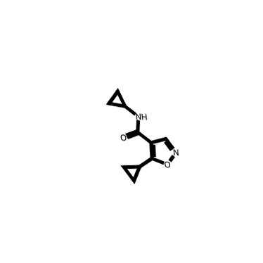 O=C(NC1CC1)c1cnoc1C1CC1